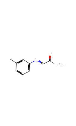 COC(=O)C=Nc1cccc(C)c1